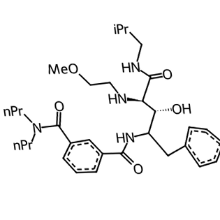 CCCN(CCC)C(=O)c1cccc(C(=O)NC(Cc2ccccc2)[C@@H](O)[C@@H](NCCOC)C(=O)NCC(C)C)c1